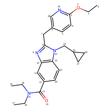 CCOc1ccc(Cc2nc3cc(C(=O)N(CC)CC)ccc3n2CC2CC2)cn1